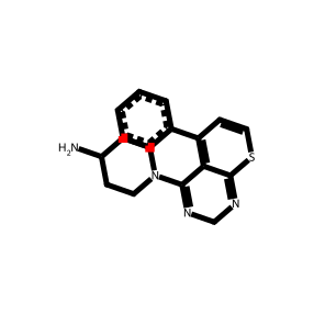 NC1CCN(C2=NCN=C3SC=CC(c4ccccc4)=C32)CC1